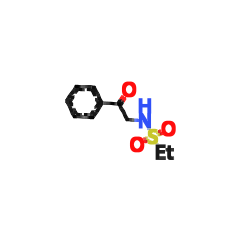 CCS(=O)(=O)NCC(=O)c1ccccc1